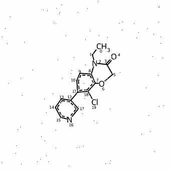 CCN1C(=O)COc2c1ccc(-c1cccnc1)c2Cl